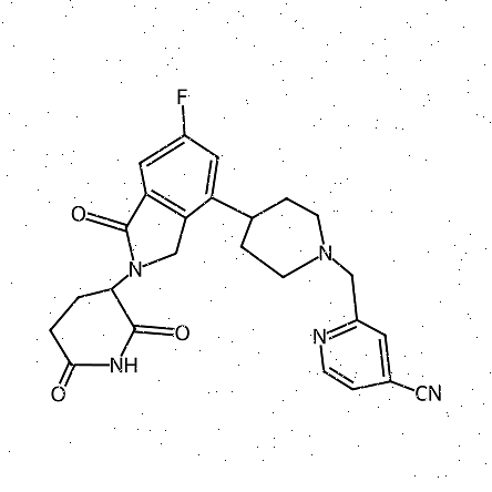 N#Cc1ccnc(CN2CCC(c3cc(F)cc4c3CN(C3CCC(=O)NC3=O)C4=O)CC2)c1